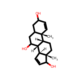 C[C@]12C=CC(O)CC1CC(O)[C@@H]1[C@H]2CC[C@]2(C)C(O)C=C[C@@H]12